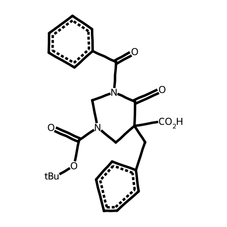 CC(C)(C)OC(=O)N1CN(C(=O)c2ccccc2)C(=O)C(Cc2ccccc2)(C(=O)O)C1